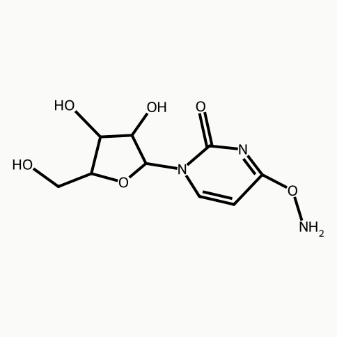 NOc1ccn(C2OC(CO)C(O)C2O)c(=O)n1